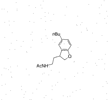 CCCCc1ccc2c(c1)C(CCNC(C)=O)CO2